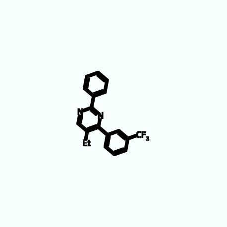 CCc1cnc(-c2ccccc2)nc1-c1cccc(C(F)(F)F)c1